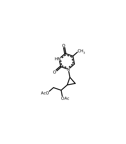 CC(=O)OCC(OC(C)=O)C1CC1n1cc(C)c(=O)[nH]c1=O